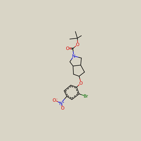 CC(C)(C)OC(=O)N1CC2CC(Oc3ccc([N+](=O)[O-])cc3Br)CC2C1